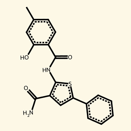 Cc1ccc(C(=O)Nc2sc(-c3ccccc3)cc2C(N)=O)c(O)c1